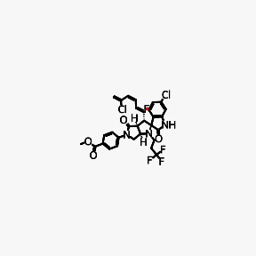 C=C(Cl)/C=C\C=C(/F)[C@H]1[C@@H]2C(=O)N(c3ccc(C(=O)OC)cc3)C[C@@H]2N(CCC(F)(F)F)[C@@]12C(=O)Nc1cc(Cl)ccc12